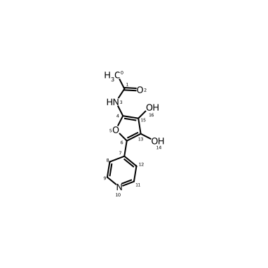 CC(=O)Nc1oc(-c2ccncc2)c(O)c1O